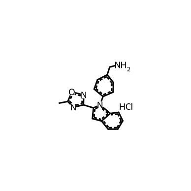 Cc1nc(-c2cc3ccccc3n2-c2ccc(CN)cc2)no1.Cl